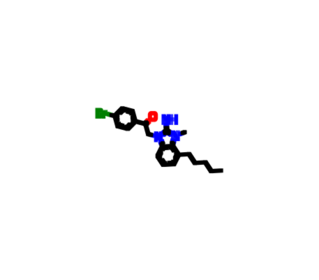 CCCCCc1cccc2c1n(C)c(=N)n2CC(=O)c1ccc(Br)cc1